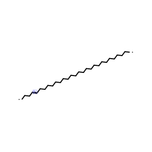 [CH2]CC/C=C/CCCCCCCCCCCCCCCCCCCCCCC[CH2]